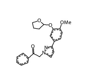 COc1ccc(-c2ccn(CC(=O)c3ccccc3)n2)cc1OC1CCCO1